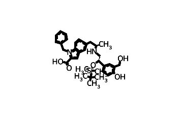 C[C@H](Cc1ccc2c(c1)cc(C(=O)O)n2Cc1ccccc1)NC[C@@H](O[Si](C)(C)C(C)(C)C)c1ccc(O)c(CO)c1